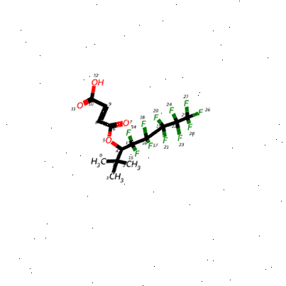 CC(C)(C)C(OC(=O)C=CC(=O)O)C(F)(F)C(F)(F)C(F)(F)C(F)(F)C(F)(F)F